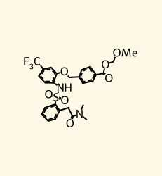 COCOC(=O)c1ccc(COc2cc(C(F)(F)F)ccc2NS(=O)(=O)c2ccccc2CC(=O)N(C)C)cc1